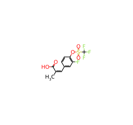 CC(=Cc1ccc(OS(=O)(=O)C(F)(F)F)c(F)c1)C(=O)O